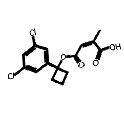 CC(=CC(=O)OC1(c2cc(Cl)cc(Cl)c2)CCC1)C(=O)O